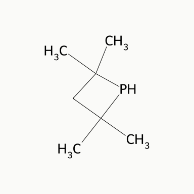 CC1(C)CC(C)(C)P1